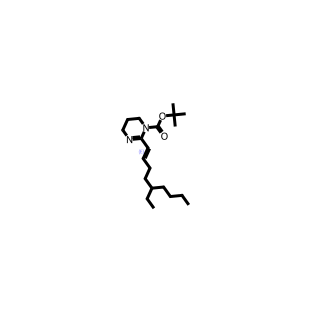 CCCCC(CC)CC/C=C/C1=NCCCN1C(=O)OC(C)(C)C